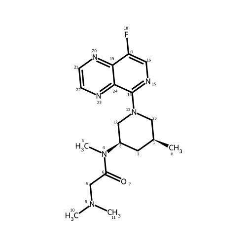 C[C@H]1C[C@@H](N(C)C(=O)CN(C)C)CN(c2ncc(F)c3nccnc23)C1